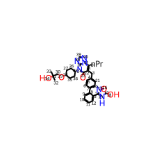 CCCc1c(Cc2ccc(-c3ccccc3C3=NOC(O)N3)cc2)c(=O)n([C@H]2CC[C@H](OCC(C)(C)O)CC2)c2ncnn12